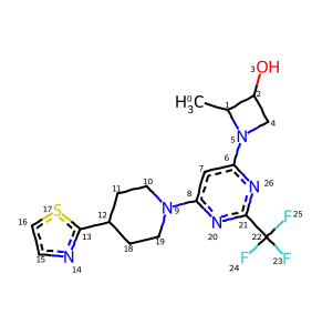 CC1C(O)CN1c1cc(N2CCC(c3nccs3)CC2)nc(C(F)(F)F)n1